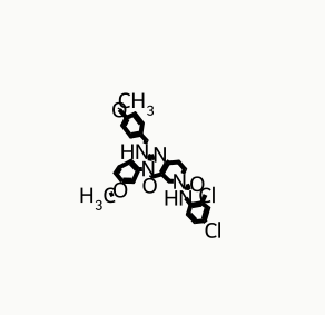 COc1ccc(CNc2nc3c(c(=O)n2-c2cccc(OC)c2)CN(C(=O)Nc2ccc(Cl)cc2Cl)CC3)cc1